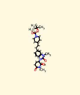 CN1C(=O)CCC(n2c(=O)n(C)c3cc(CCC4CCN(C(=O)OC(C)(C)C)CC4)ccc32)C1=O